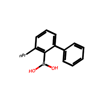 CCCc1cccc(-c2ccccc2)c1B(O)O